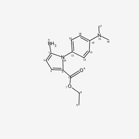 Bc1ccc(C(=O)OCC)n1-c1ccc(N(C)C)cc1